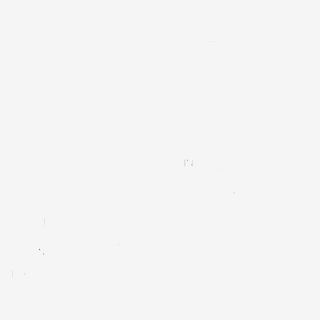 CN(C)CCOc1ccc(NC(=O)/C(=C\c2ccccc2)c2ccc(O)cc2)cc1